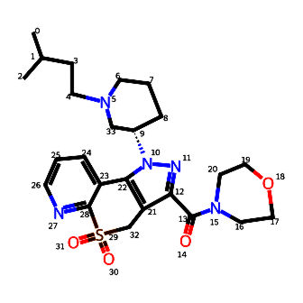 CC(C)CCN1CCC[C@H](n2nc(C(=O)N3CCOCC3)c3c2-c2cccnc2S(=O)(=O)C3)C1